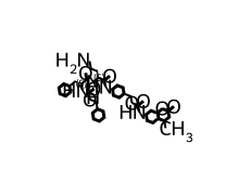 Cc1cc(=O)oc2cc(NC(=O)OCc3ccc(NC(=O)[C@H](CCCN)NC(=O)[C@H](Cc4ccccc4)NC(=O)OCc4ccccc4)cc3)ccc12